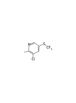 Cc1ncc(SC(F)(F)F)cc1Cl